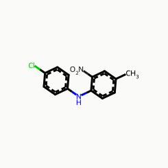 Cc1ccc(Nc2ccc(Cl)cc2)c([N+](=O)[O-])c1